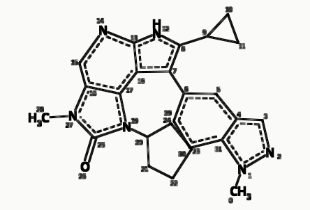 Cn1ncc2cc(-c3c(C4CC4)[nH]c4ncc5c(c34)n(C3CCCC3)c(=O)n5C)ccc21